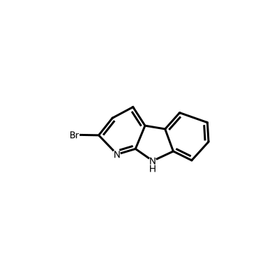 Brc1ccc2c(n1)[nH]c1ccccc12